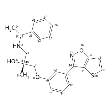 C[C@@H](NC[C@@](C)(O)COc1cccc(-c2noc3ccsc23)c1)c1ccccc1